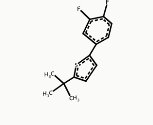 CC(C)(C)c1ccc(-c2ccc(F)c(F)c2)s1